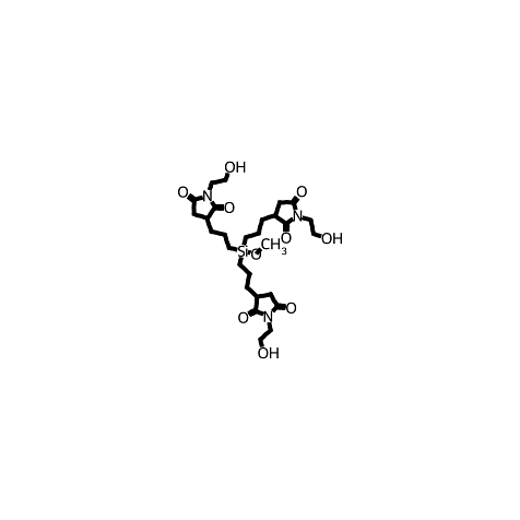 CO[Si](CCCC1CC(=O)N(CCO)C1=O)(CCCC1CC(=O)N(CCO)C1=O)CCCC1CC(=O)N(CCO)C1=O